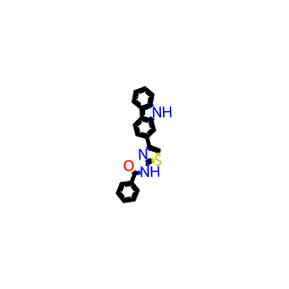 O=C(Nc1nc(-c2ccc3c(c2)[nH]c2ccccc23)cs1)c1ccccc1